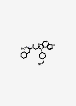 N#CC[C@H]1CC[C@@H](n2c(CN/C(CC3CCCCC3)=N/O)nc3cnc4[nH]ccc4c32)CC1